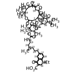 CC[C@H]1OC(=O)[C@H](C)[C@@H](O[C@H]2CC(C)(C)[C@@H](OC(=O)NCCN(C)CCCc3ccc4c(c3)c(=O)c(C(=O)O)cn4CC)[C@H](C)O2)[C@H](C)[C@@H](O[C@@H]2O[C@H](C)C[C@H](N(C)C)[C@H]2O)[C@@]2(C)C[C@@H](CO2)C(=O)[C@H](C)[C@@H](O)[C@]1(C)O